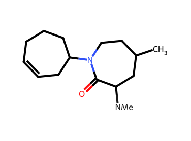 CNC1CC(C)CCN(C2CC=CCCC2)C1=O